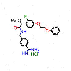 COC(C(=O)NCc1ccc(C(=N)N)cc1)c1ccc(OCCOc2ccccc2)cc1F.Cl